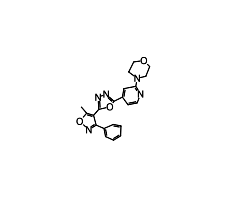 Cc1onc(-c2ccccc2)c1-c1nnc(-c2ccnc(N3CCOCC3)c2)o1